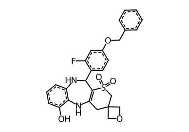 O=S1(=O)CC2(COC2)CC2=C1C(c1ccc(OCc3ccccc3)cc1F)Nc1cccc(O)c1N2